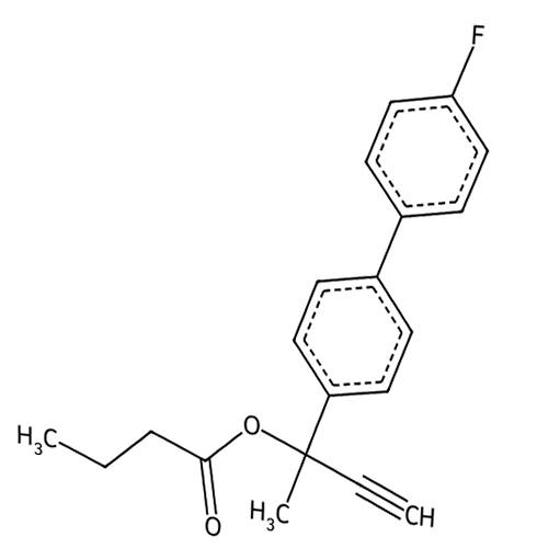 C#CC(C)(OC(=O)CCC)c1ccc(-c2ccc(F)cc2)cc1